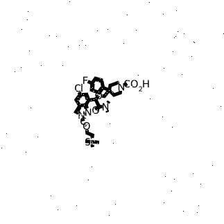 CN(C)C(=O)C(OCC1(c2ccc(F)cc2)CCN(C(=O)O)CC1)c1cc(Cl)cc2cn(COCC[Si](C)(C)C)nc12